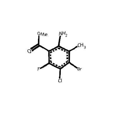 COC(=O)c1c(N)c(C)c(Br)c(Cl)c1F